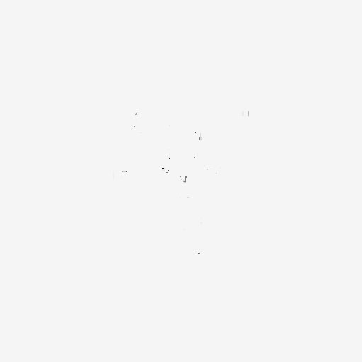 OCC[n+]1cc2ccccc2c2nn(-c3ccc(C(F)(F)F)cc3)c(O)c21.[OH-]